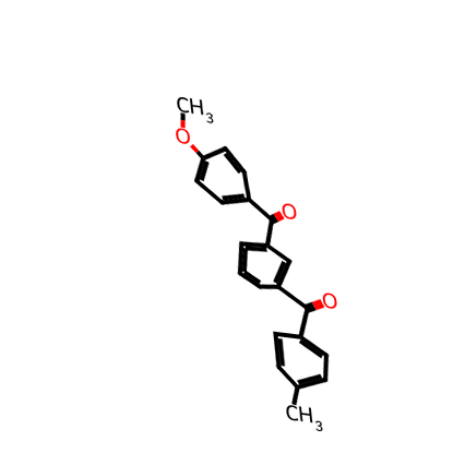 COc1ccc(C(=O)C2=C=C=CC(C(=O)c3ccc(C)cc3)=C2)cc1